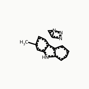 Cc1ccc2c(c1)[nH]c1ccccc12.c1c2nnn1-2